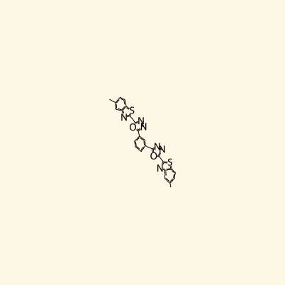 Cc1ccc2sc(-c3nnc(-c4cccc(-c5nnc(-c6nc7cc(C)ccc7s6)o5)c4)o3)nc2c1